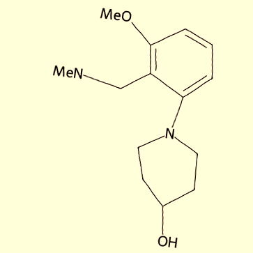 CNCc1c(OC)cccc1N1CCC(O)CC1